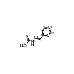 NC(=S)NN=Cc1ccncn1